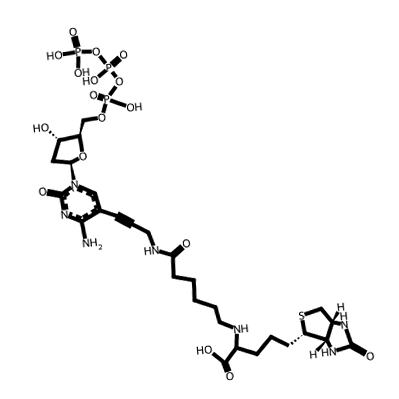 Nc1nc(=O)n([C@H]2C[C@H](O)[C@@H](COP(=O)(O)OP(=O)(O)OP(=O)(O)O)O2)cc1C#CCNC(=O)CCCCCNC(CCC[C@@H]1SC[C@@H]2NC(=O)N[C@@H]21)C(=O)O